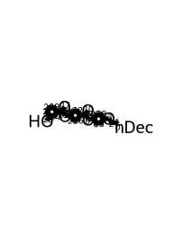 CCCCCCCCCCCCOc1ccc(OC(=O)c2ccc(OC(=O)c3cccc(O)c3)cc2)cc1